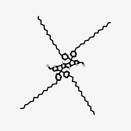 CCCCCCCCCCCCCCCCc1ccc(C2(c3ccc(CCCCCCCCCCCCCCCC)cc3)c3cc(C=O)sc3-c3sc4c5c(sc4c32)-c2sc(C=O)cc2C5(c2ccc(CCCCCCCCCCCCCCCC)cc2)c2ccc(CCCCCCCCCCCCCCCC)cc2)cc1